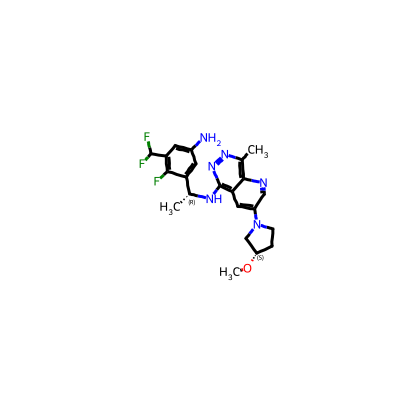 CO[C@H]1CCN(c2cnc3c(C)nnc(N[C@H](C)c4cc(N)cc(C(F)F)c4F)c3c2)C1